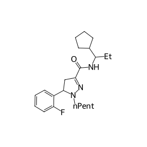 CCCCCN1N=C(C(=O)NC(CC)C2CCCC2)CC1c1ccccc1F